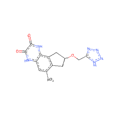 O=c1[nH]c2cc([N+](=O)[O-])c3c(c2[nH]c1=O)CC(OCc1nnn[nH]1)C3